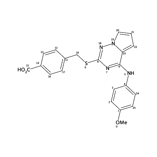 COc1ccc(Nc2nc(SCc3ccc(C(=O)O)cc3)nn3cccc23)cc1